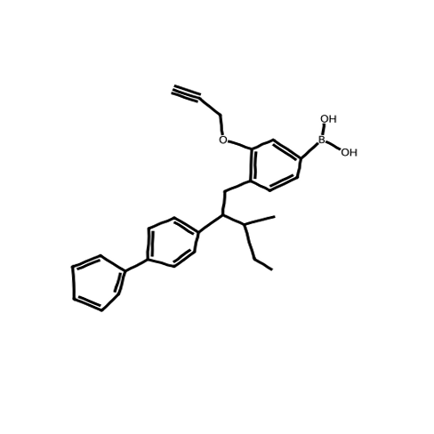 C#CCOc1cc(B(O)O)ccc1CC(c1ccc(-c2ccccc2)cc1)C(C)CC